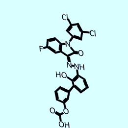 O=C(O)Oc1cccc(-c2cccc(NN=C3C(=O)N(c4cc(Cl)cc(Cl)c4)c4ccc(F)cc43)c2O)c1